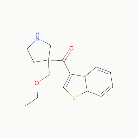 CCOCC1(C(=O)C2=CSC3C=CC=CC23)CCNC1